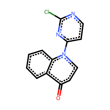 O=c1ccn(-c2ccnc(Cl)n2)c2ccccc12